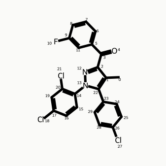 Cc1c(C(=O)c2cccc(F)c2)nn(-c2ccc(Cl)cc2Cl)c1-c1ccc(Cl)cc1